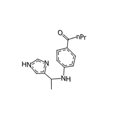 CCCC(=O)c1ccc(NC(C)c2c[nH]cn2)cc1